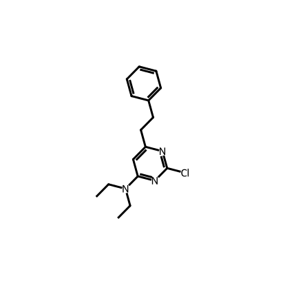 CCN(CC)c1cc(CCc2ccccc2)nc(Cl)n1